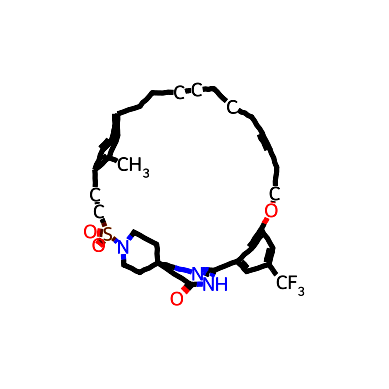 Cc1cc2ccc1CCS(=O)(=O)N1CCC3(CC1)N=C(NC3=O)c1cc(cc(C(F)(F)F)c1)OCC/C=C/CCCCCCC2